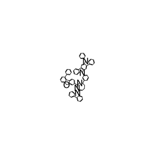 C1=C(n2c3ccccc3c3ccccc32)/N=C(c2ccc3c(c2)oc2cccc(-c4ccccc4)c23)\N=C(\c2cccc(-n3c4ccccc4c4cc5c(cc43)c3ccccc3n5-c3ccccc3)c2)CC\1